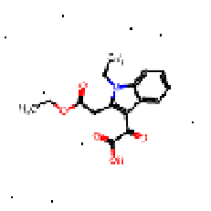 CCOC(=O)Cc1c(C(=O)C(=O)O)c2ccccc2n1CC